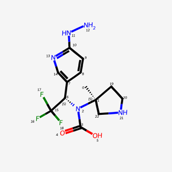 C[C@]1(N(C(=O)O)[C@@H](c2ccc(NN)nc2)C(F)(F)F)CCNC1